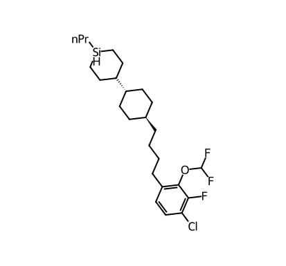 CCC[SiH]1CCC([C@H]2CC[C@H](CCCCc3ccc(Cl)c(F)c3OC(F)F)CC2)CC1